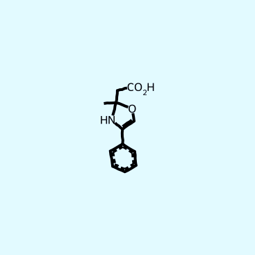 CC1(CC(=O)O)NC(c2ccccc2)=CO1